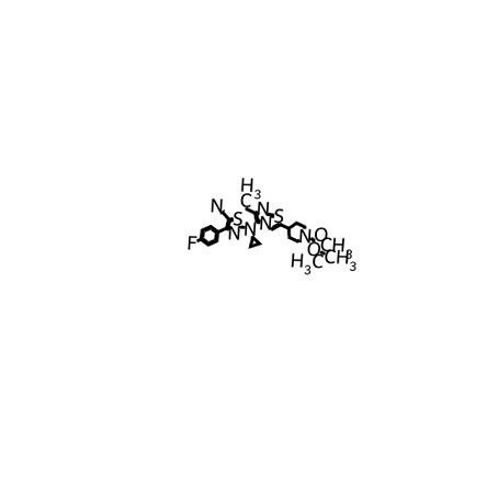 CCc1nc2sc(C3CCN(C(=O)OC(C)(C)C)CC3)cn2c1N(c1nc(-c2ccc(F)cc2)c(C#N)s1)C1CC1